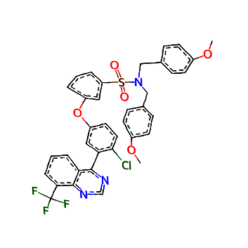 COc1ccc(CN(Cc2ccc(OC)cc2)S(=O)(=O)c2cccc(Oc3ccc(Cl)c(-c4ncnc5c(C(F)(F)F)cccc45)c3)c2)cc1